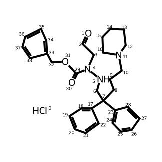 Cl.O=CCN(NCC(CCCN1CCCCC1)(c1ccccc1)c1ccccc1)C(=O)OCc1ccccc1